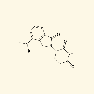 CN(Br)c1cccc2c1CN(C1CCC(=O)NC1=O)C2=O